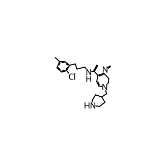 C=NC1=C(C(=C)NCCCc2cc(C)ccc2Cl)C=CN(CC2CCNCC2)CC1